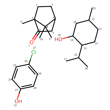 CC12CCC(CC1=O)C2(C)C.CC1CCC(C(C)C)C(O)C1.Oc1ccc(Cl)cc1